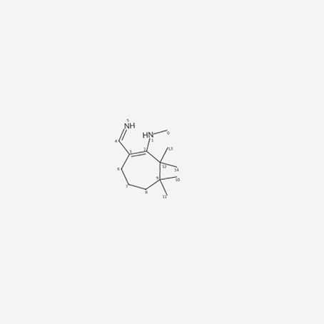 CNC1=C(C=N)CCCC(C)(C)C1(C)C